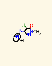 CN1[C@@H]2CC[C@H]1C[C@H](Nc1cnn(C)c(=O)c1Cl)C2